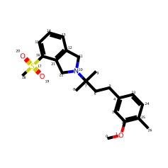 COc1cc(CCC(C)(C)N2Cc3cccc(S(C)(=O)=O)c3C2)ccc1C